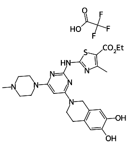 CCOC(=O)c1sc(Nc2nc(N3CCN(C)CC3)cc(N3CCc4cc(O)c(O)cc4C3)n2)nc1C.O=C(O)C(F)(F)F